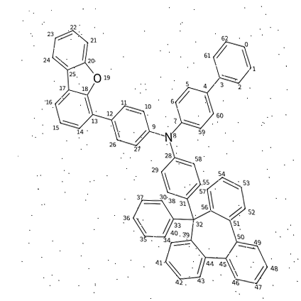 c1ccc(-c2ccc(N(c3ccc(-c4cccc5c4oc4ccccc45)cc3)c3ccc(C4(c5ccccc5)c5ccccc5-c5ccccc5-c5ccccc54)cc3)cc2)cc1